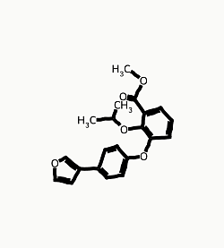 COC(=O)c1cccc(Oc2ccc(-c3ccoc3)cc2)c1OC(C)C